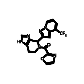 O=C(c1ncco1)N1CCc2[nH]cnc2C1c1cc2c(C(F)(F)F)cccn2n1